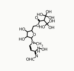 CN(/C=C\C(=N/C=O)NO)C1OC(COC(=O)C(C(O)(O)O)C(O)(O)O)C(O)C1O